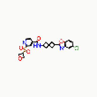 O=C(NC1CC2(C1)CC(c1nc3cc(Cl)ccc3o1)C2)c1ccnc(S(=O)(=O)C2COC2)c1